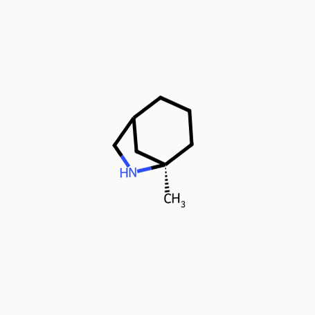 C[C@]12CCCC(CN1)C2